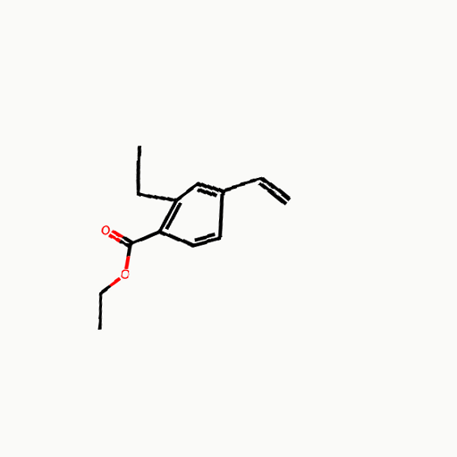 C=Cc1ccc(C(=O)OCC)c(CC)c1